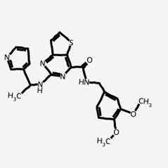 COc1ccc(CNC(=O)c2nc(NC(C)c3cccnc3)nc3ccsc23)cc1OC